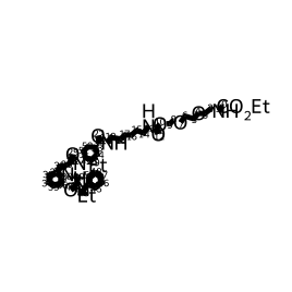 CCOC(=O)NCCOCCOCCOC(=O)NCCCCCCNC(=O)[C@H]1CC[C@H](NC(=O)c2cc3ccccc3n2CC(=O)N(CC)c2cccc(CC)c2)CC1